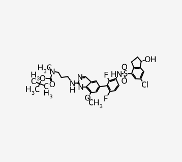 COc1cc(-c2c(F)ccc(NS(=O)(=O)c3cc(Cl)cc4c3CC[C@H]4O)c2F)cc2cnc(NCCCN(C)C(=O)OC(C)(C)C)nc12